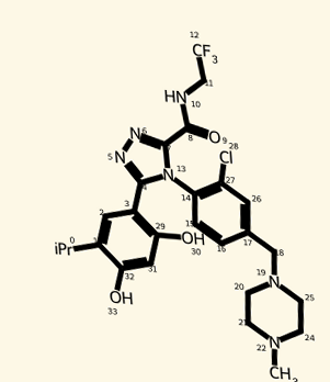 CC(C)c1cc(-c2nnc(C(=O)NCC(F)(F)F)n2-c2ccc(CN3CCN(C)CC3)cc2Cl)c(O)cc1O